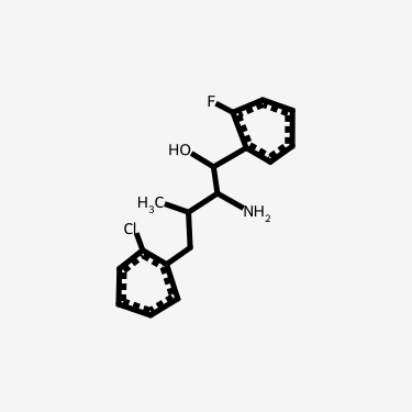 CC(Cc1ccccc1Cl)C(N)C(O)c1ccccc1F